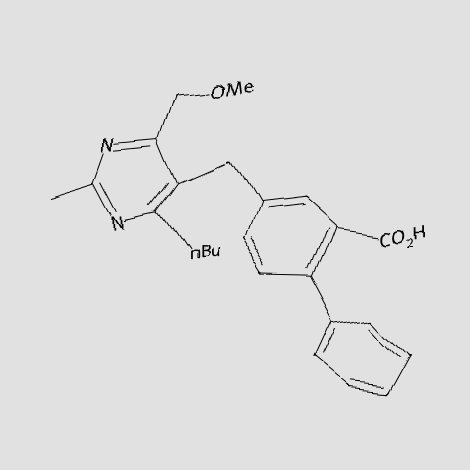 CCCCc1nc(C)nc(COC)c1Cc1ccc(-c2ccccc2)c(C(=O)O)c1